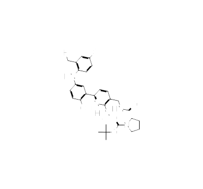 CC(C)(C)OC(=O)N1CCC[C@H]1C(=O)NCc1ccc(-c2cc(Nc3ccc(Cl)cc3CF)ccc2O)nc1N